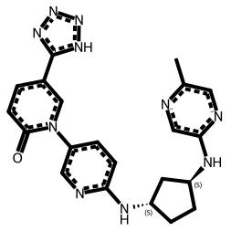 Cc1cnc(N[C@H]2CC[C@H](Nc3ccc(-n4cc(-c5nnn[nH]5)ccc4=O)cn3)C2)cn1